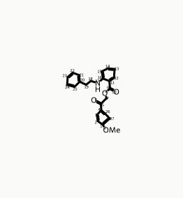 COc1ccc(C(=O)COC(=O)c2ccccc2NCCc2ccccc2)cc1